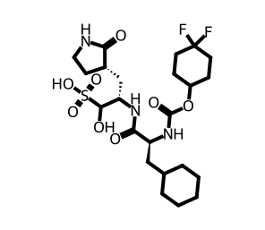 O=C(N[C@@H](CC1CCCCC1)C(=O)N[C@@H](C[C@@H]1CCNC1=O)C(O)S(=O)(=O)O)OC1CCC(F)(F)CC1